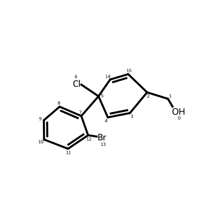 OCC1C=CC(Cl)(c2ccccc2Br)C=C1